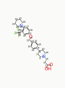 O=C(O)CCN1CCC(c2ccc(COc3ccc(N4CCCCC4)c(C(F)(F)F)c3)cc2)CC1